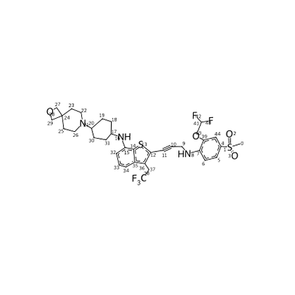 CS(=O)(=O)c1ccc(NCC#Cc2sc3c(NC4CCC(N5CCC6(CC5)COC6)CC4)cccc3c2CC(F)(F)F)c(OC(F)F)c1